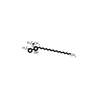 CCCCCCCCCCCCCCCCCCCCc1cc(O)c(C2C=C(C)CCC2)c(OC(C)C)c1